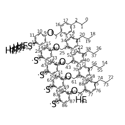 CCCc1ccc(COc2ccc([S])cc2)cc1.CCCc1ccc(COc2ccc([S])cc2)cc1.CCCc1ccc(COc2ccc([S])cc2)cc1.CCCc1ccc(COc2ccc([S])cc2)cc1.CCCc1ccc(COc2ccc([S])cc2)cc1.F.F.F.F.F